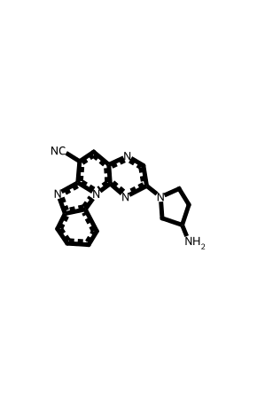 N#Cc1cc2ncc(N3CCC(N)C3)nc2n2c1nc1ccccc12